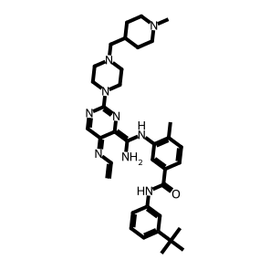 C=C/N=C1/C=NC(N2CCN(CC3CCN(C)CC3)CC2)=N/C1=C(/N)Nc1cc(C(=O)Nc2cccc(C(C)(C)C)c2)ccc1C